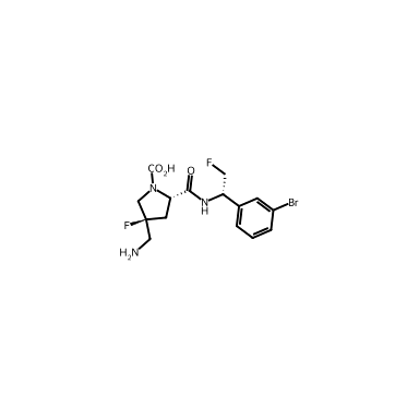 NC[C@@]1(F)C[C@@H](C(=O)N[C@H](CF)c2cccc(Br)c2)N(C(=O)O)C1